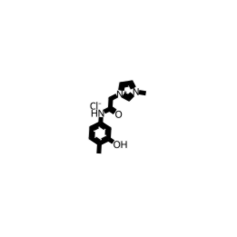 Cc1ccc(NC(=O)C[n+]2ccn(C)c2)cc1O.[Cl-]